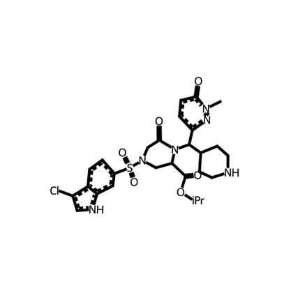 CC(C)OC(=O)C1CN(S(=O)(=O)c2ccc3c(Cl)c[nH]c3c2)CC(=O)N1C(c1ccc(=O)n(C)n1)C1CCNCC1